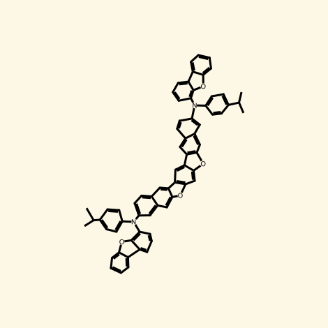 CC(C)c1ccc(N(c2ccc3cc4c(cc3c2)oc2cc3oc5cc6cc(N(c7ccc(C(C)C)cc7)c7cccc8c7oc7ccccc78)ccc6cc5c3cc24)c2cccc3c2oc2ccccc23)cc1